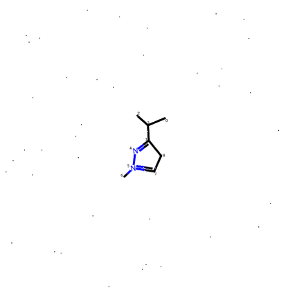 CC(C)C1=N[N+](C)=CC1